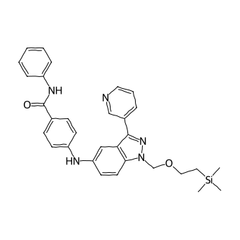 C[Si](C)(C)CCOCn1nc(-c2cccnc2)c2cc(Nc3ccc(C(=O)Nc4ccccc4)cc3)ccc21